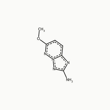 COc1ccc2nc(N)nn2n1